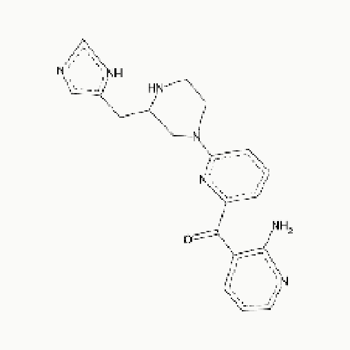 Nc1ncccc1C(=O)c1cccc(N2CCNC(Cc3cnc[nH]3)C2)n1